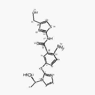 CC(O)n1ccnc1Sc1ccc(N)c(C(=O)Nc2nc(CO)cs2)c1